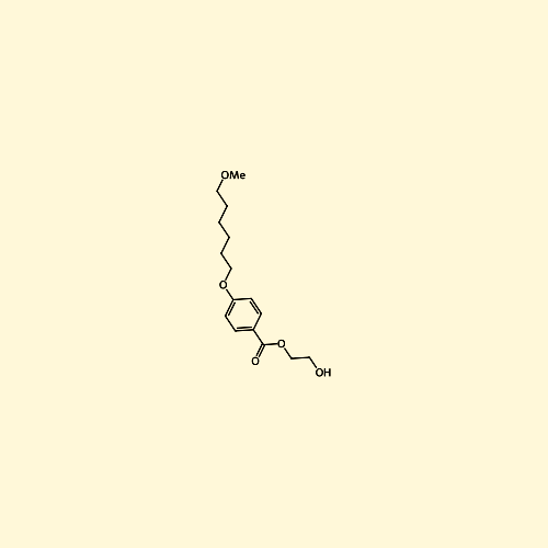 COCCCCCCOc1ccc(C(=O)OCCO)cc1